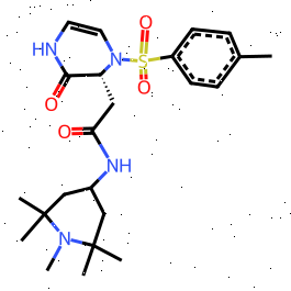 Cc1ccc(S(=O)(=O)N2C=CNC(=O)[C@H]2CC(=O)NC2CC(C)(C)N(C)C(C)(C)C2)cc1